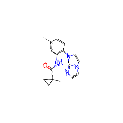 Cc1ccc(-n2ccn3ccnc23)c(NC(=O)C2(C)CC2)c1